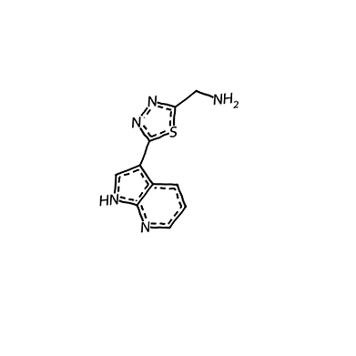 NCc1nnc(-c2c[nH]c3ncccc23)s1